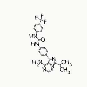 CC(C)c1nc(-c2ccc(NC(=O)Nc3ccc(C(F)(F)F)cc3)cc2)c2c(N)nccn12